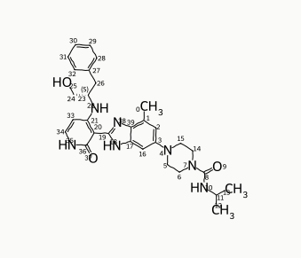 Cc1cc(N2CCN(C(=O)NC(C)C)CC2)cc2[nH]c(-c3c(N[C@H](CO)Cc4ccccc4)cc[nH]c3=O)nc12